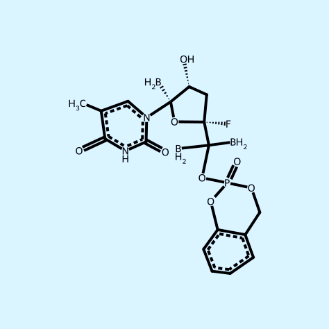 BC(B)(OP1(=O)OCc2ccccc2O1)[C@]1(F)C[C@@H](O)[C@](B)(n2cc(C)c(=O)[nH]c2=O)O1